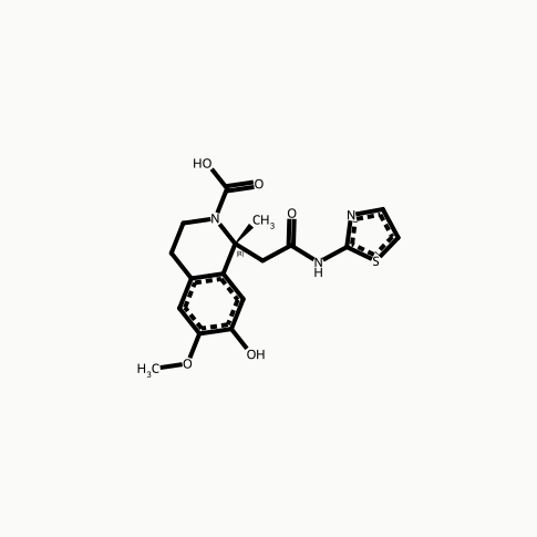 COc1cc2c(cc1O)[C@@](C)(CC(=O)Nc1nccs1)N(C(=O)O)CC2